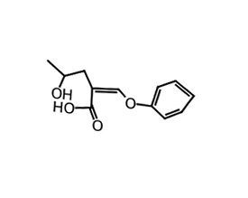 CC(O)CC(=COc1ccccc1)C(=O)O